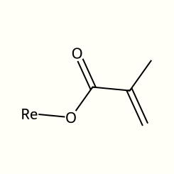 C=C(C)C(=O)[O][Re]